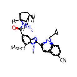 COc1cc(C(=O)N2C[C@H]3CC[C@@H]2[C@H]3N)cc2nc(-c3cc4cc(C#N)ccc4n3CC3CC3)n(C)c12